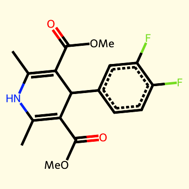 COC(=O)C1=C(C)NC(C)=C(C(=O)OC)C1c1ccc(F)c(F)c1